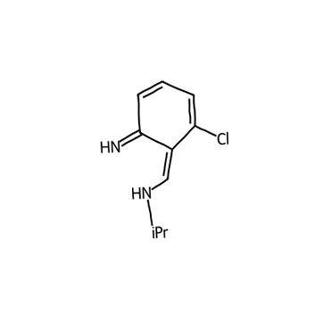 CC(C)N/C=C1\C(=N)C=CC=C1Cl